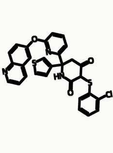 O=C1CC(c2ccsc2)(c2cccc(Oc3ccc4ncccc4c3)n2)NC(=O)C1Sc1ccccc1Cl